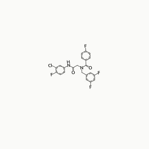 O=C(CN(Cc1cc(F)cc(F)c1)C(=O)c1ccc(F)cc1)Nc1ccc(F)c(Cl)c1